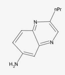 CCCc1cnc2cc(N)ccc2n1